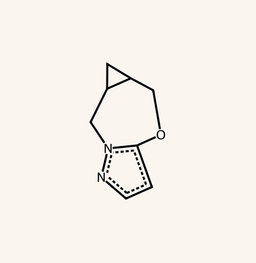 c1cc2n(n1)CC1CC1CO2